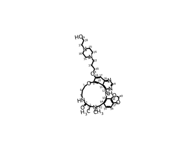 C[C@H]1C(=O)NCCCOc2cc3c(ncnc3cc2OCCCN2CCN(CCO)CC2)Nc2c(ccc3c2OCO3)CN1C